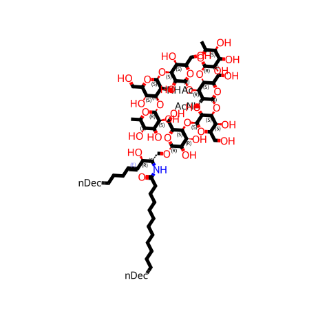 CCCCCCCCCCCCC/C=C/[C@@H](O)[C@H](CO[C@@H]1OC(CO)[C@@H](O[C@@H]2OC(CO)[C@H](O)[C@H](O[C@@H]3OC(CO)[C@@H](O[C@H]4OC(C)[C@@H](O)C(O)[C@@H]4O)[C@H](O[C@@H]4OC(CO)[C@H](O)[C@H](O[C@@H]5OC(CO)[C@@H](O)[C@H](O[C@H]6OC(C)[C@@H](O)C(O)[C@@H]6O)C5NC(C)=O)C4O)C3NC(C)=O)C2O)[C@H](O)C1O)NC(=O)CCCCCCCCCCCCCCCCCCCCC